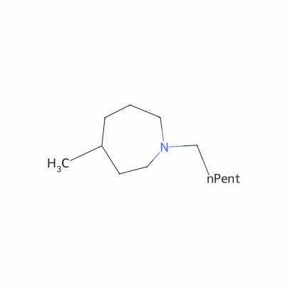 CCCCCCN1CCCC(C)CC1